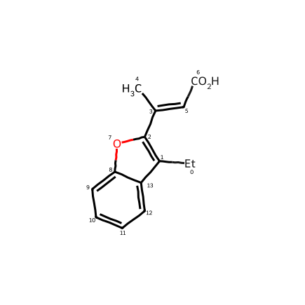 CCc1c(C(C)=CC(=O)O)oc2ccccc12